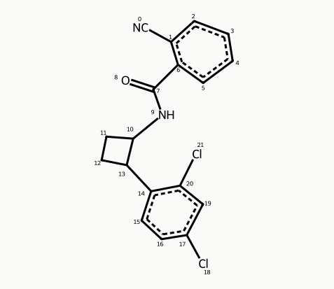 N#Cc1ccccc1C(=O)NC1CCC1c1ccc(Cl)cc1Cl